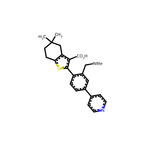 CNCc1cc(-c2ccncc2)ccc1-c1sc2c(c1C(=O)O)CC(C)(C)CC2